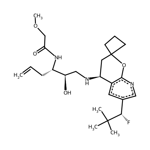 C=CC[C@H](NC(=O)COC)[C@H](O)CN[C@H]1CC2(CCC2)Oc2ncc([C@H](F)C(C)(C)C)cc21